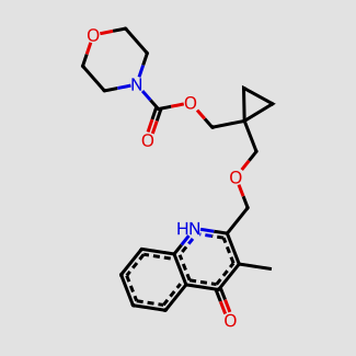 Cc1c(COCC2(COC(=O)N3CCOCC3)CC2)[nH]c2ccccc2c1=O